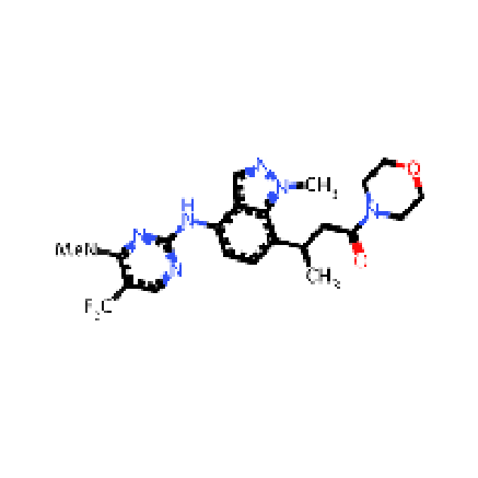 CNc1nc(Nc2ccc(C(C)CC(=O)N3CCOCC3)c3c2cnn3C)ncc1C(F)(F)F